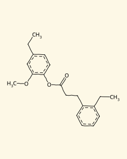 CCc1ccc(OC(=O)CCc2ccccc2CC)c(OC)c1